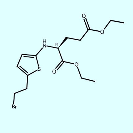 CCOC(=O)CC[C@H](Nc1ccc(CCBr)s1)C(=O)OCC